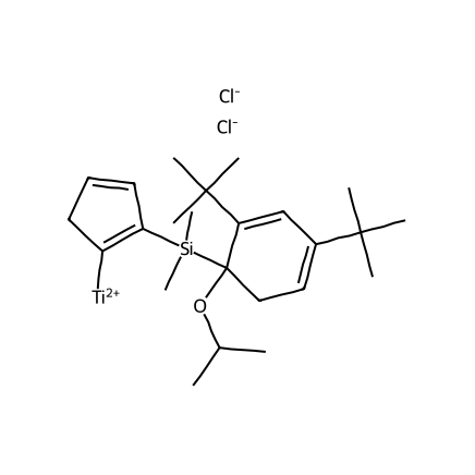 CC(C)OC1([Si](C)(C)C2=[C]([Ti+2])CC=C2)CC=C(C(C)(C)C)C=C1C(C)(C)C.[Cl-].[Cl-]